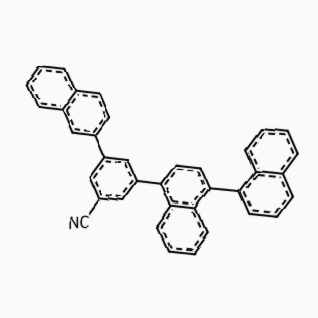 N#Cc1cc(-c2ccc3ccccc3c2)cc(-c2ccc(-c3cccc4ccccc34)c3ccccc23)c1